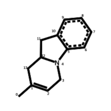 CC1=CCN2c3ccccc3CC2C1